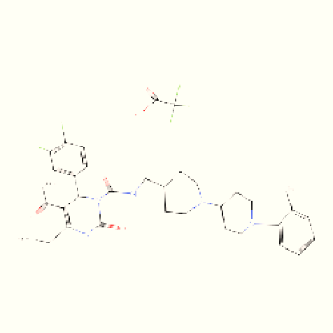 COCC1=C(C(=O)OC)C(c2ccc(F)c(F)c2)N(C(=O)NCC2CCN(C3CCN(c4ccccc4C#N)CC3)CC2)C(=O)N1.O=C(O)C(F)(F)F